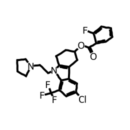 O=C(OC1CCc2c(c3cc(Cl)cc(C(F)(F)F)c3n2CCN2CCCC2)C1)c1ccccc1F